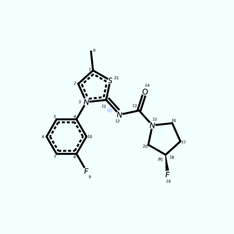 Cc1cn(-c2cccc(F)c2)/c(=N/C(=O)N2CC[C@@H](F)C2)s1